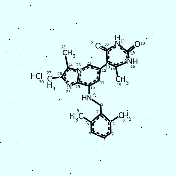 Cc1cccc(C)c1CNc1cc(-c2c(C)[nH]c(=O)[nH]c2=O)cn2c(C)c(C)nc12.Cl